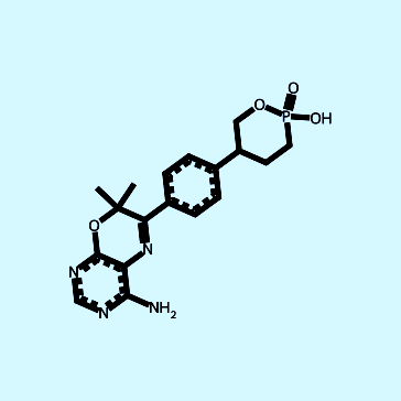 CC1(C)Oc2ncnc(N)c2N=C1c1ccc(C2CCP(=O)(O)OC2)cc1